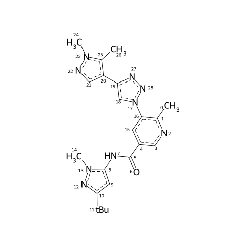 Cc1ncc(C(=O)Nc2cc(C(C)(C)C)nn2C)cc1-n1cc(-c2cnn(C)c2C)nn1